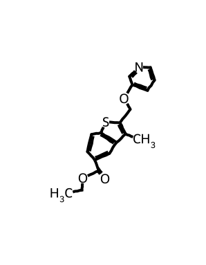 CCOC(=O)c1ccc2sc(COc3cccnc3)c(C)c2c1